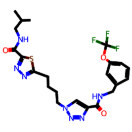 CC(C)CNC(=O)c1nnc(CCCCn2cc(C(=O)NCc3cccc(OC(F)(F)F)c3)nn2)s1